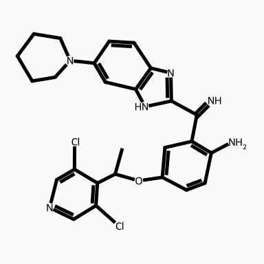 CC(Oc1ccc(N)c(C(=N)c2nc3ccc(N4CCCCC4)cc3[nH]2)c1)c1c(Cl)cncc1Cl